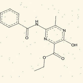 CCOC(=O)c1nc(NC(=O)c2ccccc2)c(C)nc1O